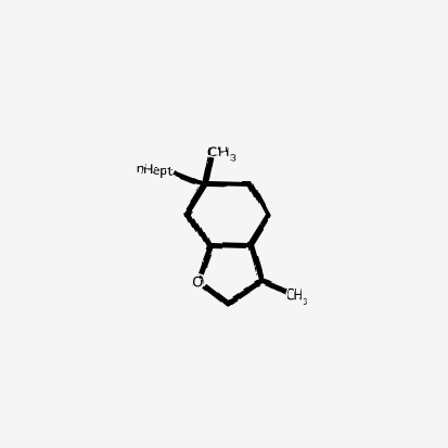 CCCCCCCC1(C)CCC2C(C)COC2C1